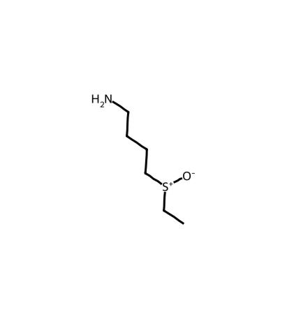 CC[S+]([O-])CCCCN